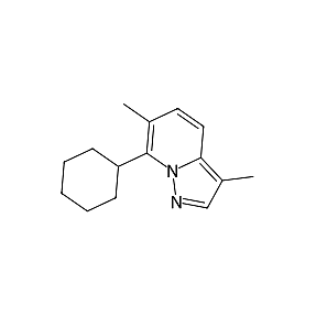 Cc1ccc2c(C)cnn2c1C1CCCCC1